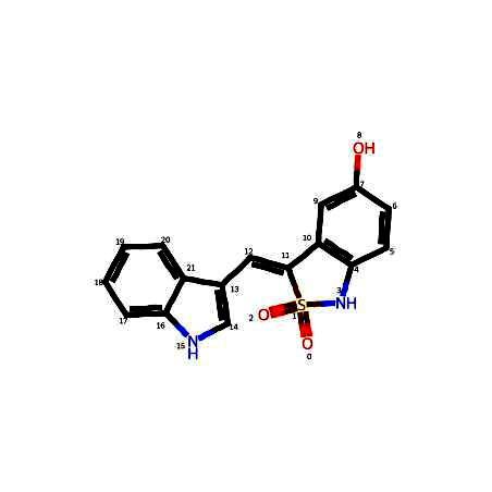 O=S1(=O)Nc2ccc(O)cc2C1=Cc1c[nH]c2ccccc12